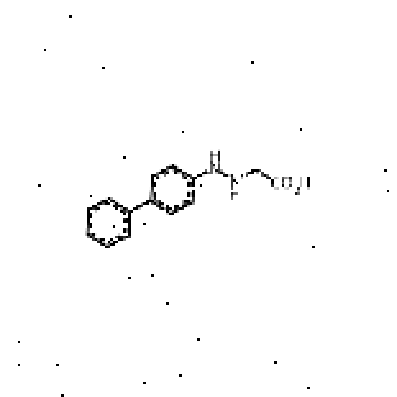 O=C(O)CNNc1ccc(-c2ccccc2)cc1